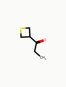 CCC(=O)C1CSC1